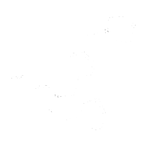 O=CC=CN1N=Cc2ccccc2C1c1ccc(CN2CCOCC2)cc1